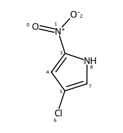 O=[N+]([O-])c1cc(Cl)c[nH]1